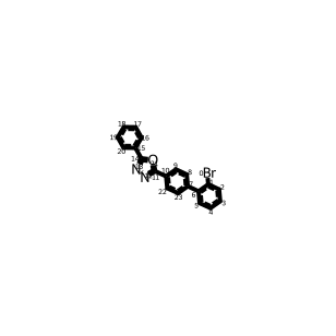 Brc1ccccc1-c1ccc(-c2nnc(-c3ccccc3)o2)cc1